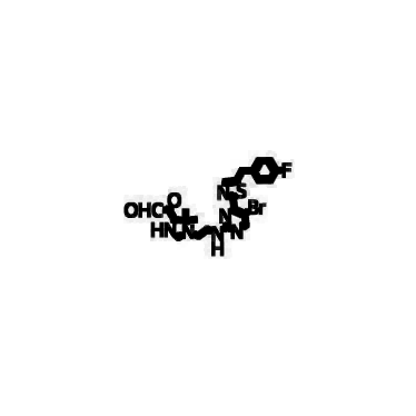 CC1(C)C(C(=O)C=O)NCN1CCNc1ncc(Br)c(-c2ncc(Cc3ccc(F)cc3)s2)n1